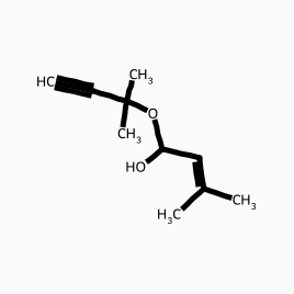 C#CC(C)(C)OC(O)C=C(C)C